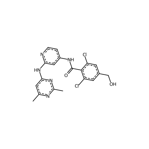 Cc1cc(Nc2cc(NC(=O)c3c(Cl)cc(CO)cc3Cl)ccn2)nc(C)n1